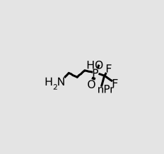 CCCC(F)(F)P(=O)(O)CCCN